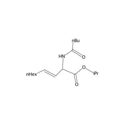 CCCCCC/C=C/C(NC(=O)CCCC)C(=O)OC(C)C